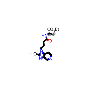 CCOC(=O)[C@@H](NC(=O)CCCn1c(C)nc2cnccc21)C(C)C